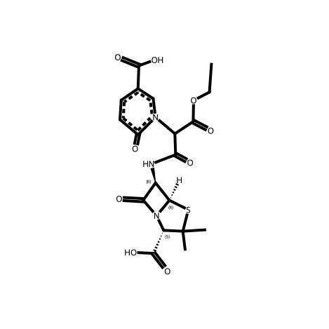 CCOC(=O)C(C(=O)N[C@@H]1C(=O)N2[C@@H]1SC(C)(C)[C@@H]2C(=O)O)n1cc(C(=O)O)ccc1=O